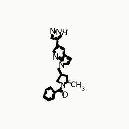 C[C@H]1CC(Cn2ccc3cc(-c4cn[nH]c4)cnc32)CN1C(=O)c1ccccc1